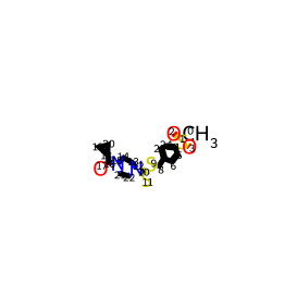 CS(=O)(=O)c1ccc(CSC(=S)N2CCN(C(=O)C3CC3)CC2)cc1